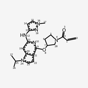 C=CC(=O)N1CCC(Oc2nc(Nc3ccn(C)n3)cc3c2ccn3C(C)C)C1